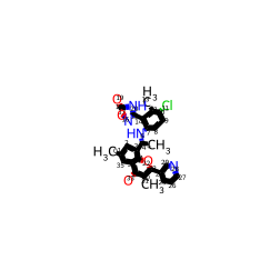 Cc1cc(C(C)Nc2ccc(Cl)c(C)c2-c2noc(=O)[nH]2)c2oc(-c3cccnc3)c(C)c(=O)c2c1